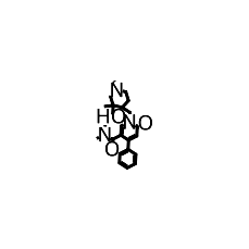 CN1CCC(O)(Cn2cc(C(=O)N(C)C)c(-c3ccccc3)cc2=O)C(C)(C)C1